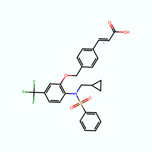 O=C(O)/C=C/c1ccc(COc2cc(C(F)(F)F)ccc2N(CC2CC2)S(=O)(=O)c2ccccc2)cc1